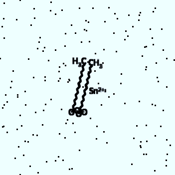 CCCCCCCCC=CCCCCCCCC(=O)[O-].CCCCCCCCC=CCCCCCCCC(=O)[O-].[Sn+2]